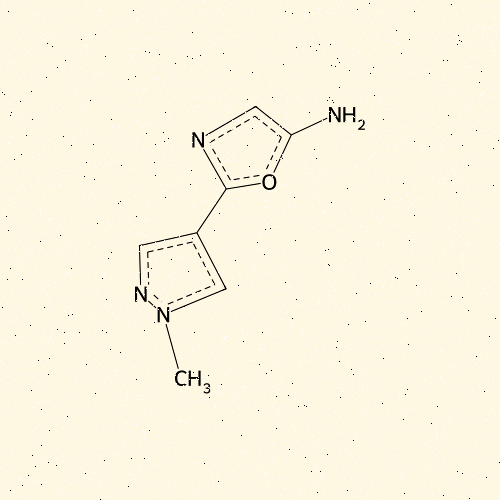 Cn1cc(-c2ncc(N)o2)cn1